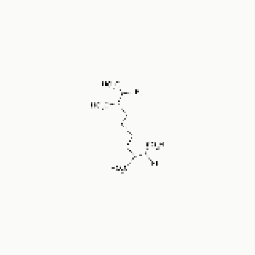 CCC(C(=O)O)C(CCCCC(C(=O)O)C(CC)C(=O)O)C(=O)O